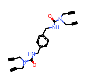 C#CCN(CC#C)C(=O)NCc1ccc(CNC(=O)N(CC#C)CC#C)cc1